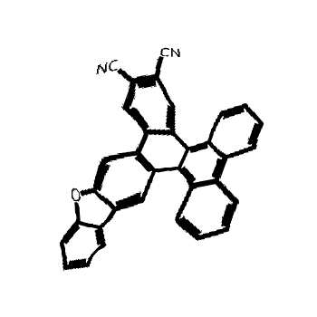 N#Cc1cc2c3cc4oc5ccccc5c4cc3c3c4ccccc4c4ccccc4c3c2cc1C#N